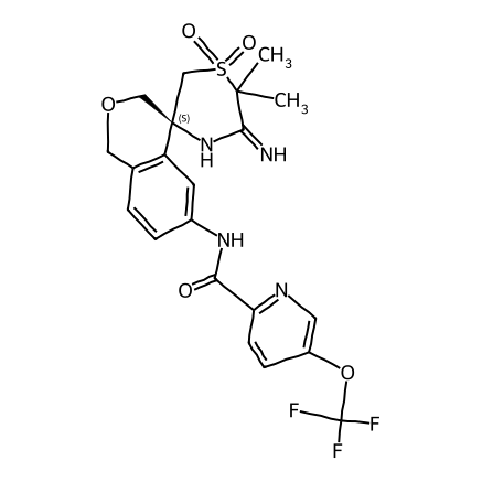 CC1(C)C(=N)N[C@@]2(COCc3ccc(NC(=O)c4ccc(OC(F)(F)F)cn4)cc32)CS1(=O)=O